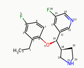 CCc1cc(F)ccc1O[C@@H](c1cncc(F)c1)[C@H]1CCNC1